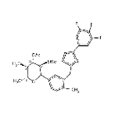 CS[C@H]1C(c2ccc(C)c(Cc3ccc(-c4cc(F)c(F)c(F)c4)s3)c2)O[C@H](C)[C@@H](C)[C@@H]1OC(C)=O